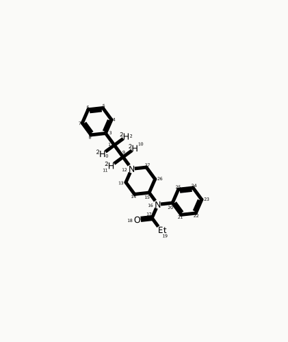 [2H]C([2H])(c1ccccc1)C([2H])([2H])N1CCC(N(C(=O)CC)c2ccccc2)CC1